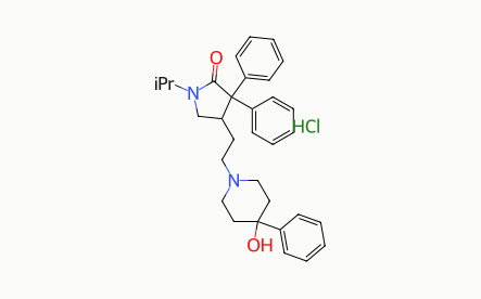 CC(C)N1CC(CCN2CCC(O)(c3ccccc3)CC2)C(c2ccccc2)(c2ccccc2)C1=O.Cl